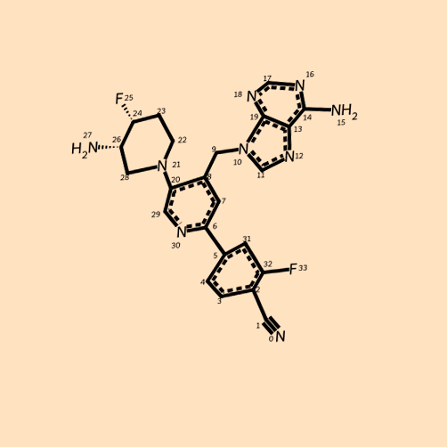 N#Cc1ccc(-c2cc(Cn3cnc4c(N)ncnc43)c(N3CC[C@@H](F)[C@@H](N)C3)cn2)cc1F